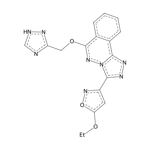 CCOc1cc(-c2nnc3c4ccccc4c(OCc4nc[nH]n4)nn23)no1